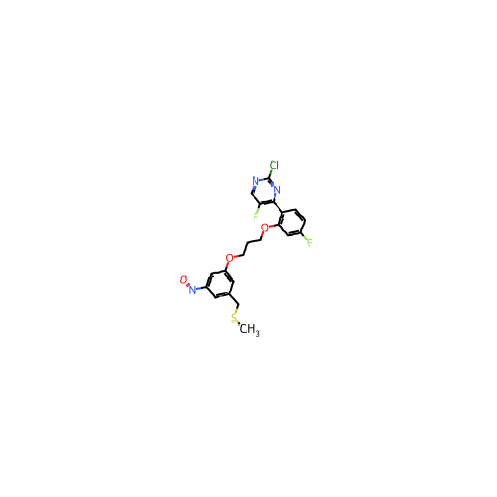 CSCc1cc(N=O)cc(OCCCOc2cc(F)ccc2-c2nc(Cl)ncc2F)c1